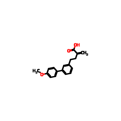 C=C(CCc1cccc(-c2ccc(OC)cc2)c1)C(=O)O